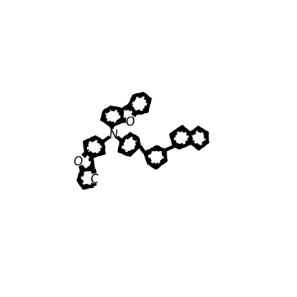 c1cc(-c2ccc(N(c3ccc4oc5ccccc5c4c3)c3cccc4c3oc3ccccc34)cc2)cc(-c2ccc3ccccc3c2)c1